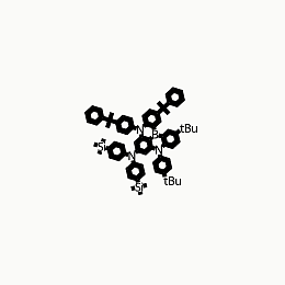 CC(C)(C)c1ccc(N2c3ccc(C(C)(C)C)cc3B3c4cc(C(C)(C)c5ccccc5)ccc4N(c4ccc(C(C)(C)c5ccccc5)cc4)c4cc(N(c5ccc([Si](C)(C)C)cc5)c5ccc([Si](C)(C)C)cc5)cc2c43)cc1